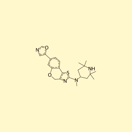 CN(c1nc2c(s1)-c1ccc(-c3cnco3)cc1OC2)C1CC(C)(C)NC(C)(C)C1